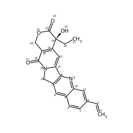 C=Cc1ccc2cc3c(nc2c1)-c1cc2c(c(=O)n1C3)COC(=O)[C@]2(O)CC